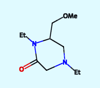 CCN1CC(=O)N(CC)C(COC)C1